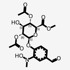 COC(=O)[C@H]1O[C@@H](Oc2ccc(C=O)cc2N(C)O)[C@H](OC(C)=O)[C@@H](O)[C@@H]1OC(C)=O